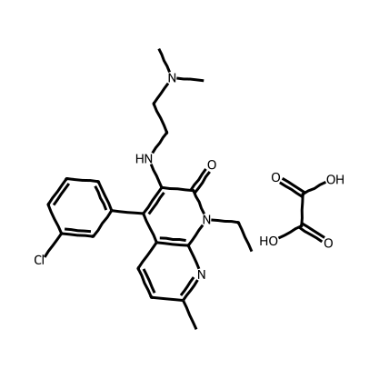 CCn1c(=O)c(NCCN(C)C)c(-c2cccc(Cl)c2)c2ccc(C)nc21.O=C(O)C(=O)O